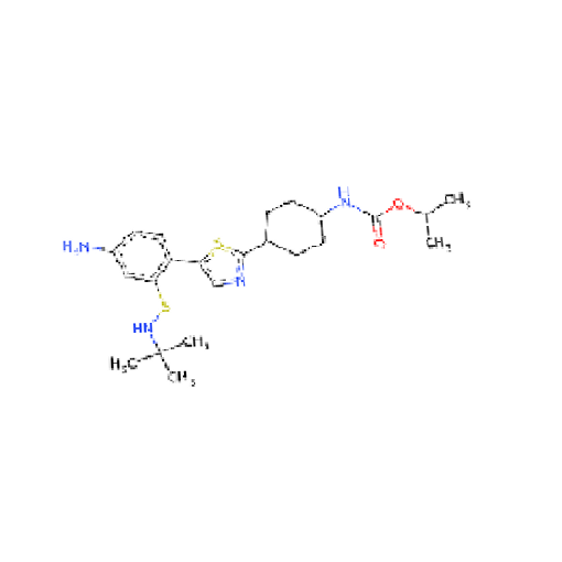 CC(C)OC(=O)NC1CCC(c2ncc(-c3ccc(N)cc3SNC(C)(C)C)s2)CC1